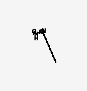 CC#CC#CC#CC#CC#CC#CC#CC#Cc1nccn1CCNC(C)=O